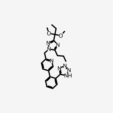 CCCc1nc(C(CC)(OC)OC)nn1Cc1ccc(-c2ccccc2-c2nnn[nH]2)cn1